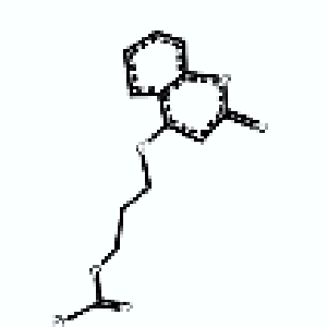 CC(C)C(=O)OCCCOc1cc(=O)oc2ccccc12